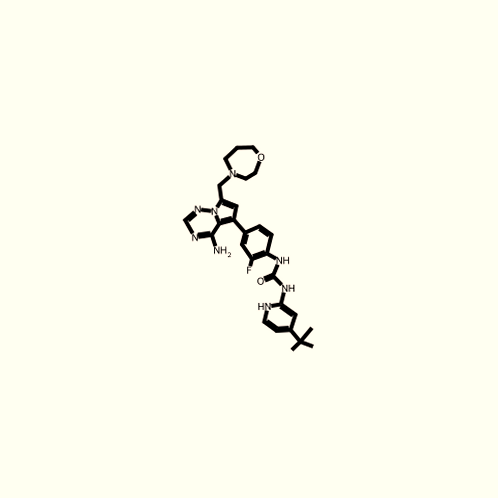 CC(C)(C)C1=C=CNC(NC(=O)Nc2ccc(-c3cc(CN4CCCOCC4)n4ncnc(N)c34)cc2F)=C1